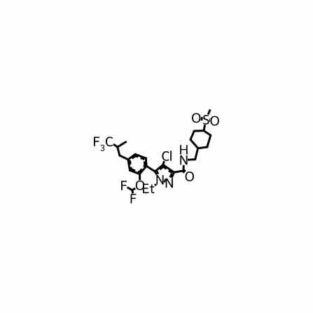 CCn1nc(C(=O)NCC2CCC(S(C)(=O)=O)CC2)c(Cl)c1-c1ccc(CC(C)C(F)(F)F)cc1OC(F)F